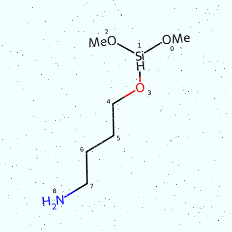 CO[SiH](OC)OCCCCN